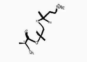 CCCCCCCCCCCCC(C)(CC)OCC(C)(C)OC(=O)[C@H](C)O